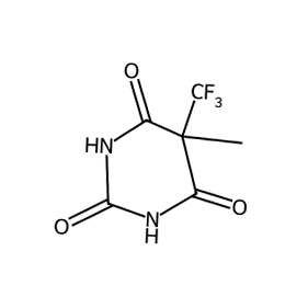 CC1(C(F)(F)F)C(=O)NC(=O)NC1=O